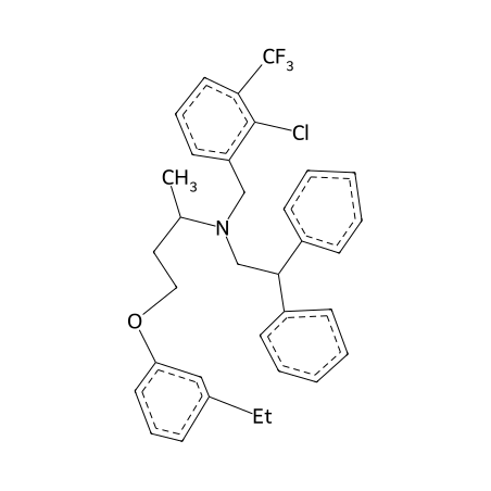 CCc1cccc(OCCC(C)N(Cc2cccc(C(F)(F)F)c2Cl)CC(c2ccccc2)c2ccccc2)c1